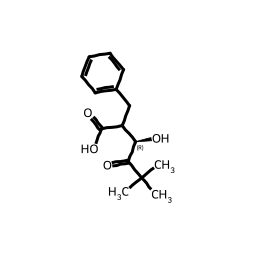 CC(C)(C)C(=O)[C@H](O)C(Cc1ccccc1)C(=O)O